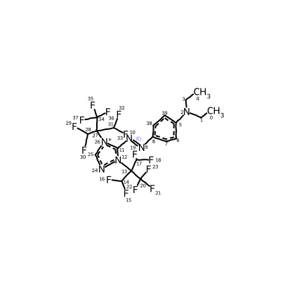 CCN(CC)c1ccc(/N=N/c2n(C(C(F)F)(C(F)F)C(F)(F)F)nc[n+]2C(C(F)F)(C(F)F)C(F)(F)F)cc1